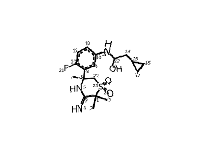 CC1(C)C(=N)N[C@](C)(c2cc(NC(O)CC3CC3)ccc2F)CS1(=O)=O